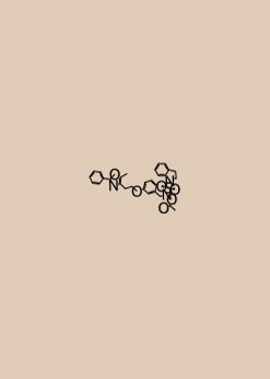 CC(=O)ON(Cc1cccc(OCCc2nc(-c3ccccc3)oc2C)c1)S(=O)(=O)N1CCc2ccccc21